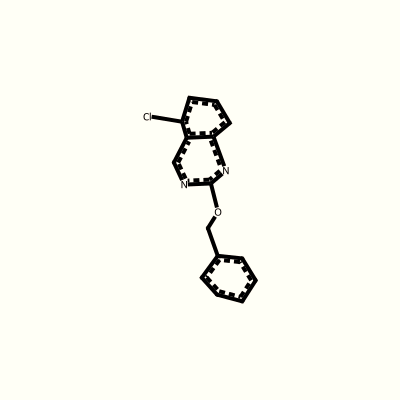 Clc1cccc2nc(OCc3ccccc3)ncc12